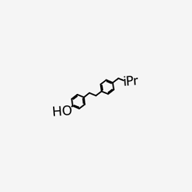 CC(C)Cc1ccc(CCc2ccc(O)cc2)cc1